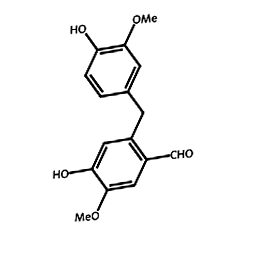 COc1cc(Cc2cc(O)c(OC)cc2C=O)ccc1O